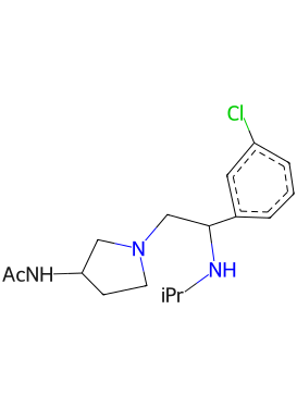 CC(=O)NC1CCN(CC(NC(C)C)c2cccc(Cl)c2)C1